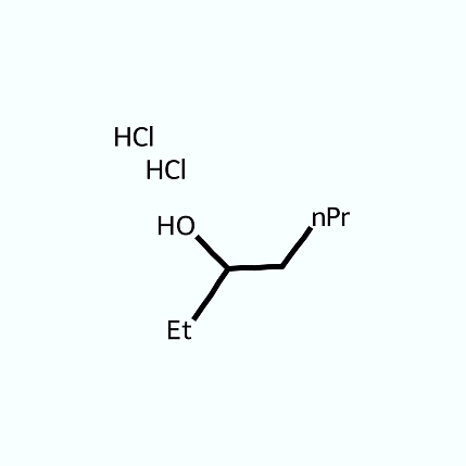 CCCCC(O)CC.Cl.Cl